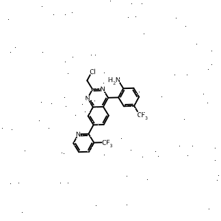 Nc1ccc(C(F)(F)F)cc1-c1nc(CCl)nc2cc(-c3ncccc3C(F)(F)F)ccc12